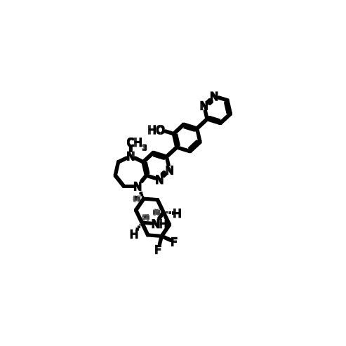 CN1CCCN([C@H]2C[C@@H]3CC(F)(F)C[C@H](C2)N3)c2nnc(-c3ccc(-c4cccnn4)cc3O)cc21